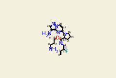 C=C/C(F)=C\N=C(\O[C@@H](C)CCN)C1CCCN1c1ccn2ncc(N)c2n1